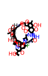 C=C(O)c1cn(C2CC2)c2cc(N3CC(CNC4=C5NC(=O)/C(C)=C\C=C\[C@H](C)[C@H](O)[C@@H](C)[C@@H](O)[C@@H](C)[C@H](OC(C)=O)[C@H](C)[C@@H](OC)/C=C/O[C@@]6(C)Oc7c(C)c(O)c(c(c7C6=O)C4=O)C5=O)C3)c(F)cc2c1=O